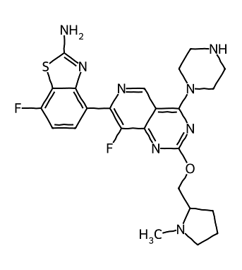 CN1CCCC1COc1nc(N2CCNCC2)c2cnc(-c3ccc(F)c4sc(N)nc34)c(F)c2n1